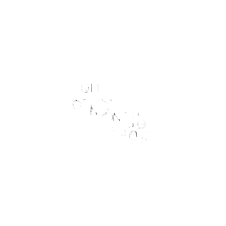 Cc1nc(C(=O)O)ccc1N1CCC2(CC1)OCCO2